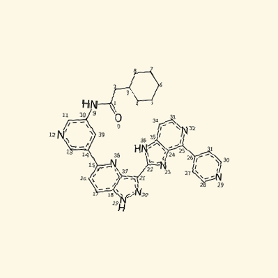 O=C(CC1CCCCC1)Nc1cncc(-c2ccc3[nH]nc(-c4nc5c(-c6ccncc6)nccc5[nH]4)c3n2)c1